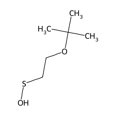 CC(C)(C)OCCSO